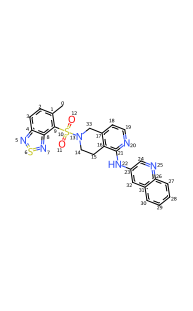 Cc1ccc2nsnc2c1S(=O)(=O)N1CCc2c(ccnc2Nc2cnc3ccccc3c2)C1